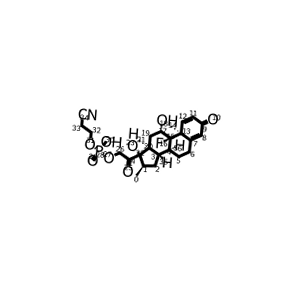 C[C@@H]1C[C@H]2[C@@H]3CCC4=CC(=O)C=C[C@]4(C)[C@@]3(F)[C@@H](O)C[C@]2(C)[C@@]1(O)C(=O)COP(=O)(O)OCCC#N